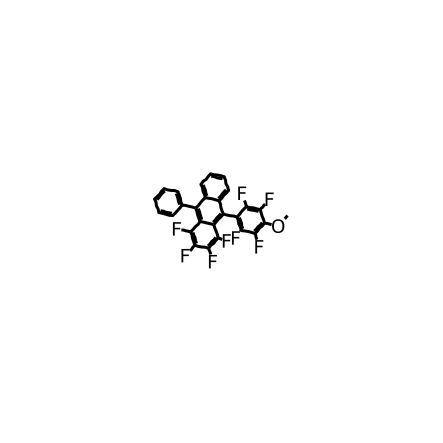 COc1c(F)c(F)c(-c2c3ccccc3c(-c3ccccc3)c3c(F)c(F)c(F)c(F)c23)c(F)c1F